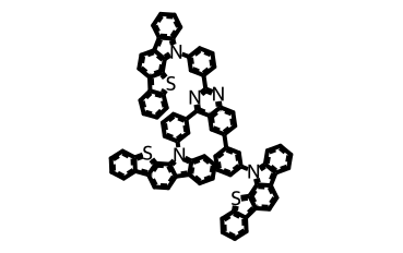 c1cc(-c2ccc3nc(-c4cccc(-n5c6ccccc6c6ccc7c8ccccc8sc7c65)c4)nc(-c4cccc(-n5c6ccccc6c6ccc7c8ccccc8sc7c65)c4)c3c2)cc(-n2c3ccccc3c3ccc4c5ccccc5sc4c32)c1